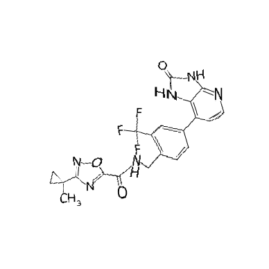 CC1(c2noc(C(=O)NCc3ccc(-c4ccnc5[nH]c(=O)[nH]c45)cc3C(F)(F)F)n2)CC1